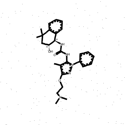 Cc1c(OCCN(C)C)nn(-c2ccccc2)c1NC(=O)N[C@@H]1c2ccccc2C(C)(C)C[C@H]1O